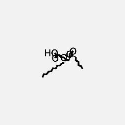 CCCCCCCCCCC[C@@H](C[C@@H]1OC(=O)[C@H]1CCCCCC)O/C=C/C(=O)O